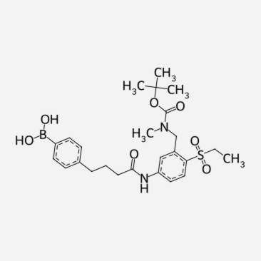 CCS(=O)(=O)c1ccc(NC(=O)CCCc2ccc(B(O)O)cc2)cc1CN(C)C(=O)OC(C)(C)C